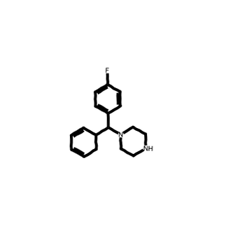 Fc1ccc(C(C2C=CC=CC2)N2CCNCC2)cc1